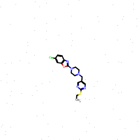 CCSc1ncc(CN2CCN(c3nc4ccc(Cl)cc4o3)CC2)cn1